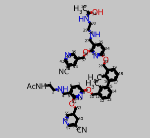 CC(=O)NCCNCc1ccc(OCc2cccc(-c3cccc(COc4ccc(CNCCNC(C)O)c(OCc5cncc(C#N)c5)n4)c3C)c2C)nc1OCC1C=NC=C(C#N)C1